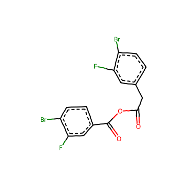 O=C(Cc1ccc(Br)c(F)c1)OC(=O)c1ccc(Br)c(F)c1